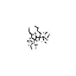 CCCCC(C)(C(=O)C(C)(CCCC)[Si](OC)(OC)OC)[Si](OC)(OC)OC